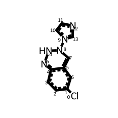 Clc1ccc2c(c1)=CN(n1ccnc1)NN=2